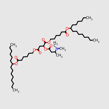 CCCCCCCCC(CCCCCC)OC(=O)CCCCCOC(=O)CC(OC(=O)CC(C)N(C)C)C(=O)OCCCCCC(=O)OC(CCCCCC)CCCCCCCC